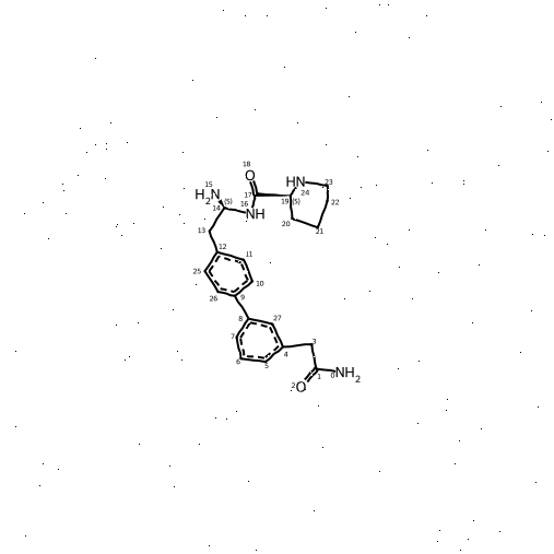 NC(=O)Cc1cccc(-c2ccc(C[C@@H](N)NC(=O)[C@@H]3CCCCN3)cc2)c1